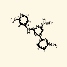 Cc1cccc(-c2cc(NC(C)C)nc(Nc3ccnc(C(F)(F)F)c3)n2)n1